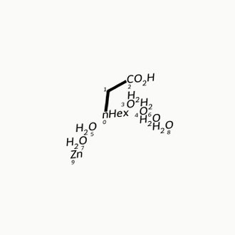 CCCCCCCC(=O)O.O.O.O.O.O.O.[Zn]